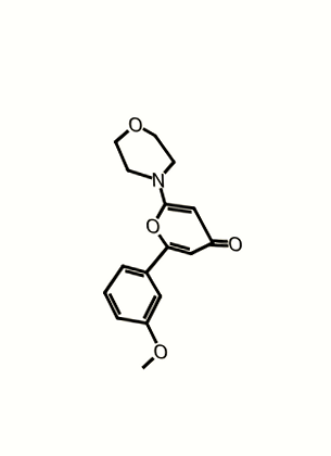 COc1cccc(-c2cc(=O)cc(N3CCOCC3)o2)c1